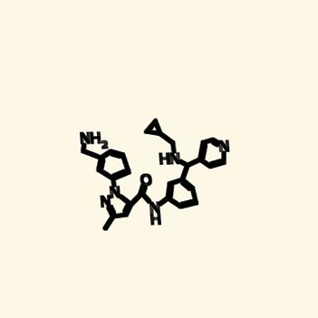 Cc1cc(C(=O)Nc2cccc(C(NCC3CC3)c3ccncc3)c2)n(-c2cccc(CN)c2)n1